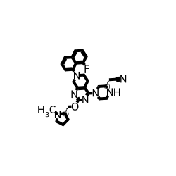 CN1CCC[C@H]1COc1nc2c(c(N3CCN[C@@H](CC#N)C3)n1)CCN(c1cccc3cccc(F)c13)C2